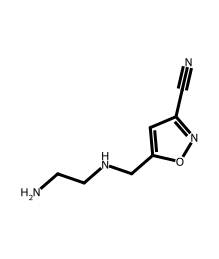 N#Cc1cc(CNCCN)on1